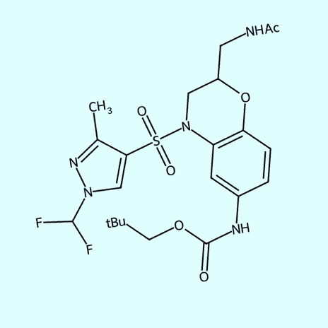 CC(=O)NCC1CN(S(=O)(=O)c2cn(C(F)F)nc2C)c2cc(NC(=O)OCC(C)(C)C)ccc2O1